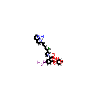 O=C(O)[C@H](c1cc(P)ccc1COC1CCOCC1)N1CCC([C@@H](F)CCCCc2ccc3c(n2)NCCC3)C1